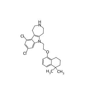 CC1(C)CCCc2c(OCCn3c4c(c5c(Cl)cc(Cl)cc53)CCNCC4)cccc21